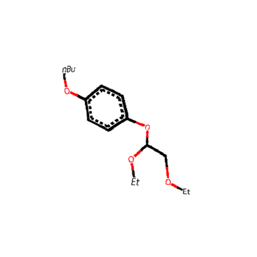 CCCCOc1ccc(OC(COCC)OCC)cc1